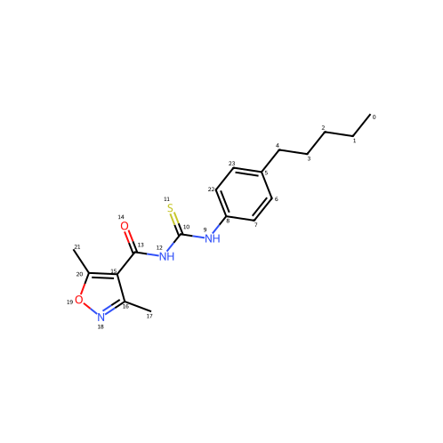 CCCCCc1ccc(NC(=S)NC(=O)c2c(C)noc2C)cc1